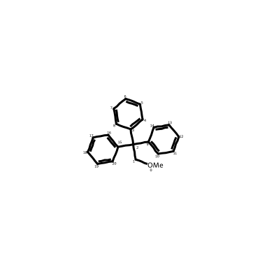 COCC(c1ccccc1)(c1ccccc1)c1ccccc1